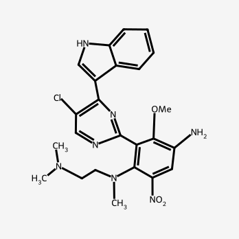 COc1c(N)cc([N+](=O)[O-])c(N(C)CCN(C)C)c1-c1ncc(Cl)c(-c2c[nH]c3ccccc23)n1